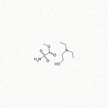 CCN(CC)CCO.COC(=O)S(N)(=O)=O